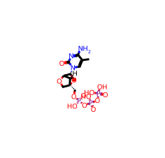 Cc1cn([C@@H]2O[C@@]3(COP(=O)(O)OP(=O)(O)OP(=O)(O)O)COC2[C@H]3C)c(=O)nc1N